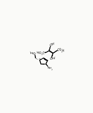 NC1C=C[C@@H](CO)C1.O=C(O)C(O)C(O)C(=O)O